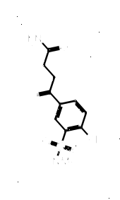 CNS(=O)(=O)c1cc(C(=O)CCC(N)=O)ccc1Cl